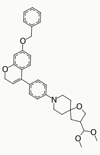 COC(OC)C1COC2(CCN(c3ccc(C4=CCOc5cc(OCc6ccccc6)ccc54)cc3)CC2)C1